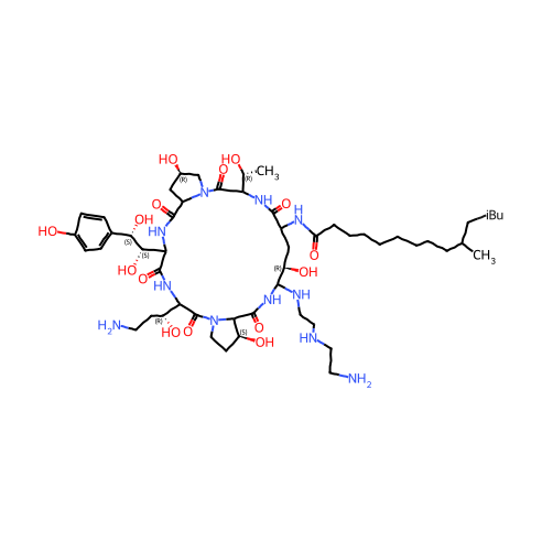 CCC(C)CC(C)CCCCCCCCC(=O)NC1C[C@@H](O)C(NCCNCCN)NC(=O)C2[C@@H](O)CCN2C(=O)C([C@H](O)CCN)NC(=O)C([C@H](O)[C@@H](O)c2ccc(O)cc2)NC(=O)C2C[C@@H](O)CN2C(=O)C([C@@H](C)O)NC1=O